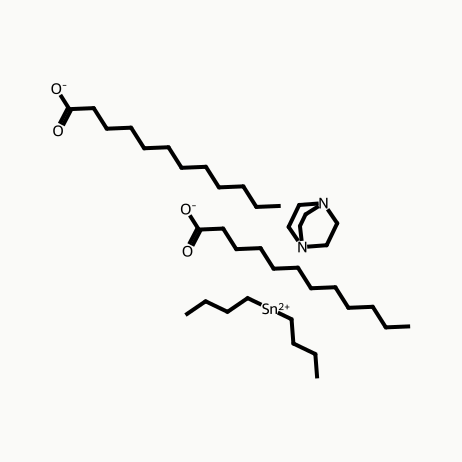 C1CN2CCN1CC2.CCCCCCCCCCCC(=O)[O-].CCCCCCCCCCCC(=O)[O-].CCC[CH2][Sn+2][CH2]CCC